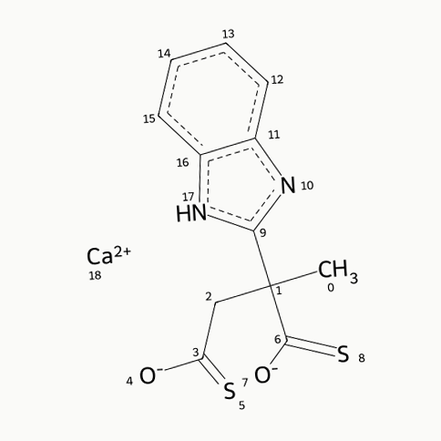 CC(CC([O-])=S)(C([O-])=S)c1nc2ccccc2[nH]1.[Ca+2]